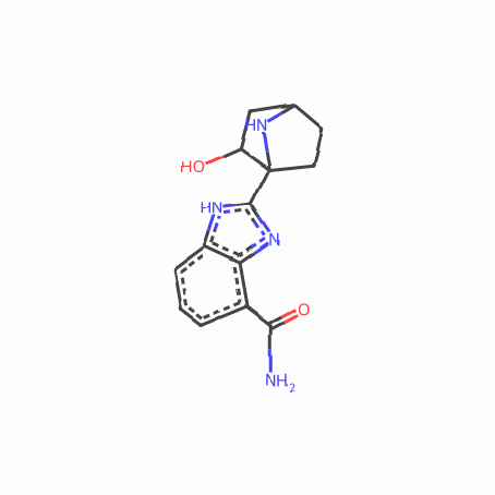 NC(=O)c1cccc2[nH]c(C34CCC(CC3O)N4)nc12